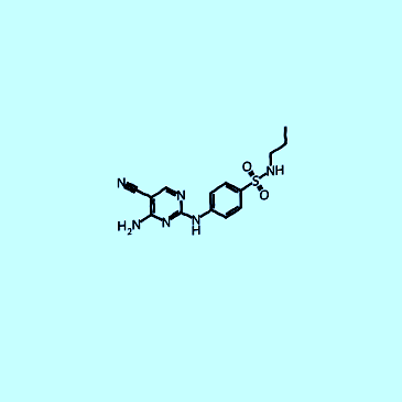 CCCNS(=O)(=O)c1ccc(Nc2ncc(C#N)c(N)n2)cc1